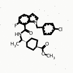 COC(=O)[C@H]1CC[C@H](C(C)NC(=O)c2c(F)ccc3ccn(Cc4ccc(Cl)cc4)c23)CC1